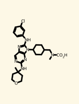 CN(CC1CCC(n2c(Nc3cccc(Cl)c3)nc3cnc(NC4(C)CCOCC4)nc32)CC1)C(=O)O